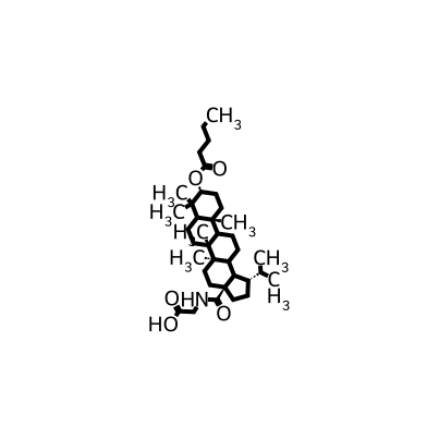 CCCCC(=O)O[C@@H]1CC[C@@]2(C)C(CC[C@]3(C)C2CCC2C4[C@H](C(C)C)CC[C@]4(C(=O)NCC(=O)O)CC[C@]23C)C1(C)C